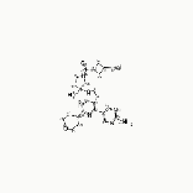 C[C@@]1(N2CCc3c(-c4cnc(N)nc4)nc(N4CCOCC4)nc32)CCN(C(=O)N2CC(C#N)C2)C1